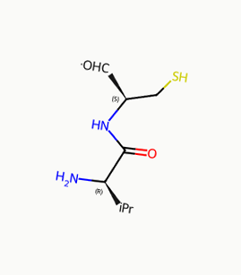 CC(C)[C@@H](N)C(=O)N[C@@H]([C]=O)CS